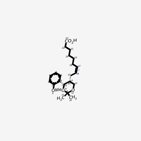 COc1ccccc1[C@H]1OC(C)(C)OC[C@H]1C/C=C\CCCCCC(=O)O